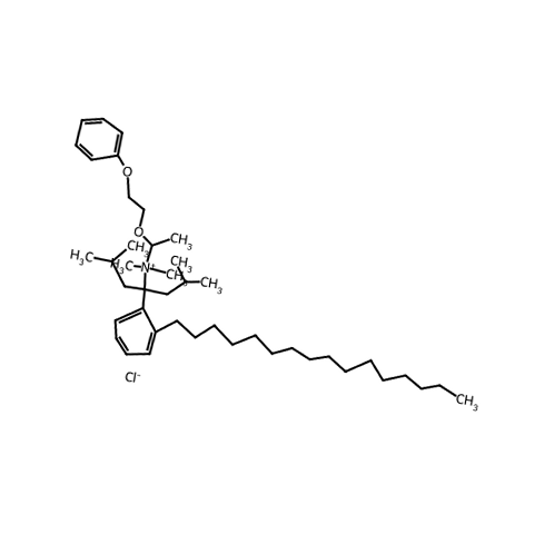 CCCCCCCCCCCCCCCCc1ccccc1C(CC(C)C)(CC(C)C)[N+](C)(C)C(C)OCCOc1ccccc1.[Cl-]